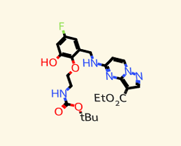 CCOC(=O)c1cnn2ccc(NCc3cc(F)cc(O)c3OCCNC(=O)OC(C)(C)C)nc12